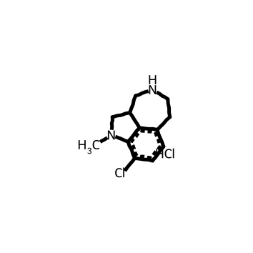 CN1CC2CNCCc3ccc(Cl)c1c32.Cl